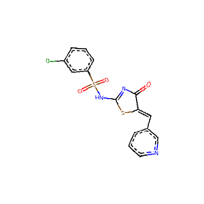 O=C1N=C(NS(=O)(=O)c2cccc(Cl)c2)SC1=Cc1cccnc1